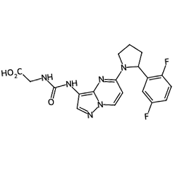 O=C(O)CNC(=O)Nc1cnn2ccc(N3CCCC3c3cc(F)ccc3F)nc12